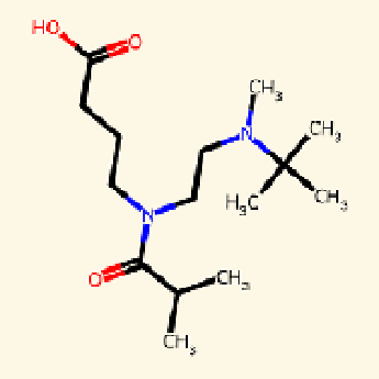 CC(C)C(=O)N(CCCC(=O)O)CCN(C)C(C)(C)C